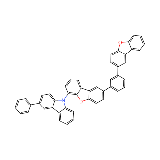 c1ccc(-c2ccc3c(c2)c2ccccc2n3-c2cccc3c2oc2ccc(-c4cccc(-c5ccc6oc7ccccc7c6c5)c4)cc23)cc1